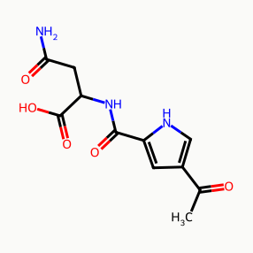 CC(=O)c1c[nH]c(C(=O)NC(CC(N)=O)C(=O)O)c1